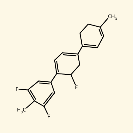 CC1=CC=C(C2=CC=C(c3cc(F)c(C)c(F)c3)C(F)C2)CC1